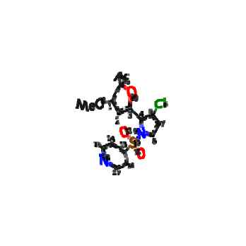 COc1cc(-c2c(Cl)ccn2S(=O)(=O)c2ccncc2)oc1C(C)=O